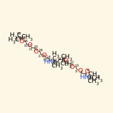 CC(C)(C)NC(=O)COCCOCCOC(C)(C)CCC(C)(C)NCCOCCOCCOCCOC(C)(C)C